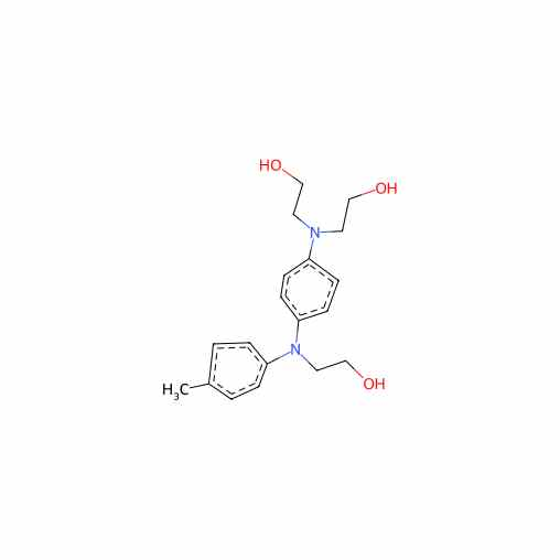 Cc1ccc(N(CCO)c2ccc(N(CCO)CCO)cc2)cc1